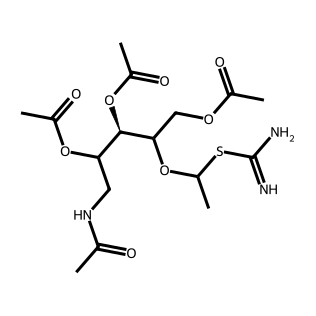 CC(=O)NCC(OC(C)=O)[C@@H](OC(C)=O)C(COC(C)=O)OC(C)SC(=N)N